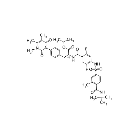 Cc1cc(S(=O)(=O)Nc2cc(F)c(C(=O)N[C@@H](Cc3ccc(-n4c(=O)c(C)c(C)n(C)c4=O)cc3)C(=O)OC(C)C)cc2F)ccc1C(=O)NC(C)(C)C